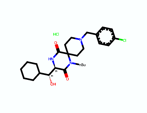 CCCCN1C(=O)[C@@H]([C@H](O)C2CCCCC2)NC(=O)C12CCN(Cc1ccc(Cl)cc1)CC2.Cl